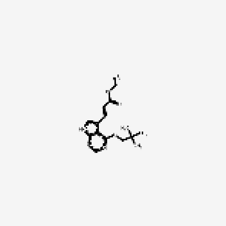 CCNC(=O)C=Cc1c[nH]c2ncnc(OCC(C)(C)C)c12